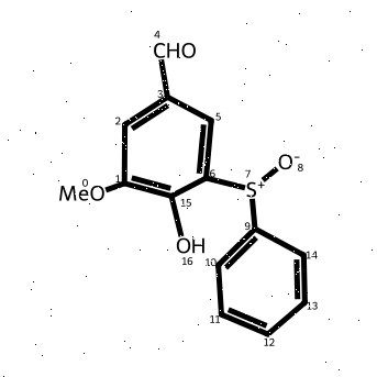 COc1cc(C=O)cc([S+]([O-])c2ccccc2)c1O